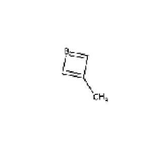 CC1=CB=C1